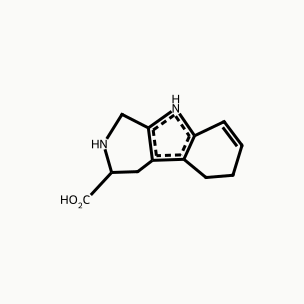 O=C(O)C1Cc2c([nH]c3c2CCC=C3)CN1